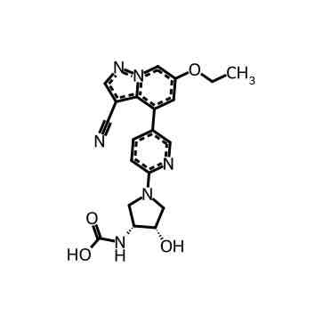 CCOc1cc(-c2ccc(N3C[C@H](O)[C@H](NC(=O)O)C3)nc2)c2c(C#N)cnn2c1